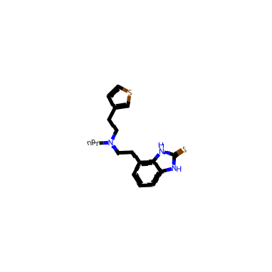 CCCN(CCc1ccsc1)CCc1cccc2[nH]c(=S)[nH]c12